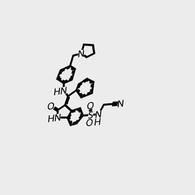 N#CCNS(=O)(=O)c1ccc2c(c1)/C(=C(/Nc1ccc(CN3CCCC3)cc1)c1ccccc1)C(=O)N2